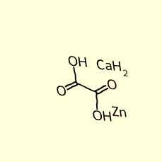 O=C(O)C(=O)O.[CaH2].[Zn]